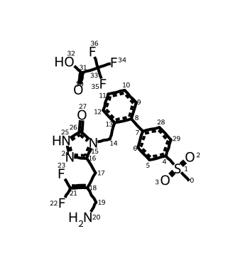 CS(=O)(=O)c1ccc(-c2ccccc2Cn2c(CC(CN)=C(F)F)n[nH]c2=O)cc1.O=C(O)C(F)(F)F